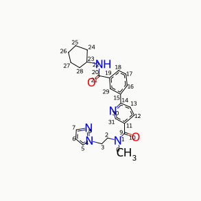 CN(CCn1cccn1)C(=O)c1ccc(-c2cccc(C(=O)NC3CCCCC3)c2)nc1